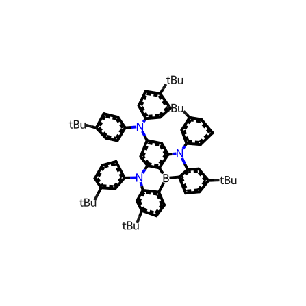 CC(C)(C)c1ccc(N(c2ccc(C(C)(C)C)cc2)c2cc3c4c(c2)N(c2cccc(C(C)(C)C)c2)c2cc(C(C)(C)C)ccc2B4c2ccc(C(C)(C)C)cc2N3c2cccc(C(C)(C)C)c2)cc1